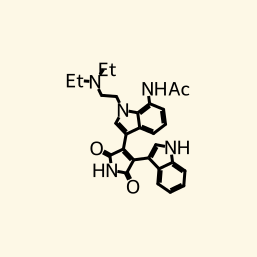 CCN(CC)CCn1cc(C2=C(c3c[nH]c4ccccc34)C(=O)NC2=O)c2cccc(NC(C)=O)c21